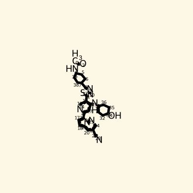 CC(=O)NC1CCC(c2nnc(-c3cnc(-c4ccc5cc(C#N)cnn45)cc3NC3CCC(O)CC3)s2)CC1